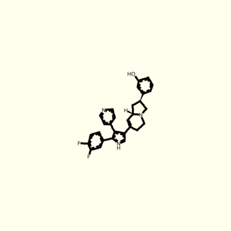 Oc1cccc([C@@H]2C[C@H]3C=C(c4c[nH]c(-c5ccc(F)c(F)c5)c4-c4ccncc4)CCN3C2)c1